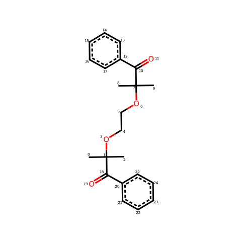 CC(C)(OCCOC(C)(C)C(=O)c1ccccc1)C(=O)c1ccccc1